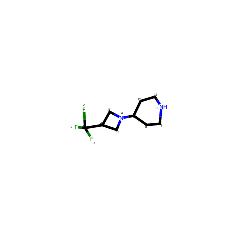 FC(F)(F)C1CN(C2CCNCC2)C1